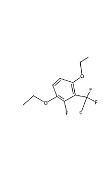 CCOc1ccc(OCC)c(C(F)(F)F)c1F